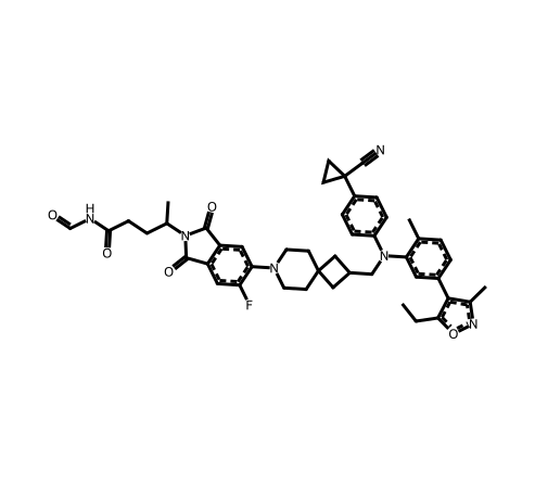 CCc1onc(C)c1-c1ccc(C)c(N(CC2CC3(CCN(c4cc5c(cc4F)C(=O)N(C(C)CCC(=O)NC=O)C5=O)CC3)C2)c2ccc(C3(C#N)CC3)cc2)c1